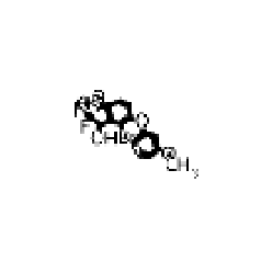 COc1cncc(Oc2ccc3c(c2Br)C(O)C(F)(F)S3(=O)=O)c1